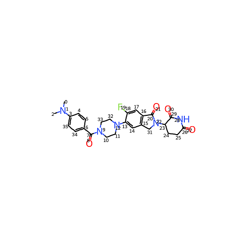 CN(C)c1ccc(C(=O)N2CCN(c3cc4c(cc3F)C(=O)N(C3CCC(=O)NC3=O)C4)CC2)cc1